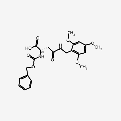 COc1cc(OC)c(CNC(=O)C[C@H](NC(=O)OCc2ccccc2)C(=O)O)c(OC)c1